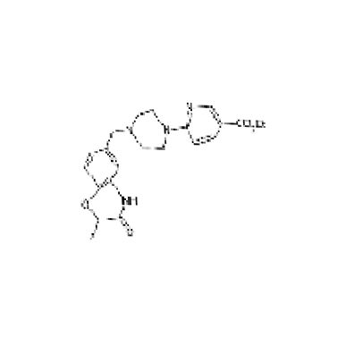 CCOC(=O)c1ccc(N2CCN(Cc3ccc4c(c3)NC(=O)C(C)O4)CC2)nc1